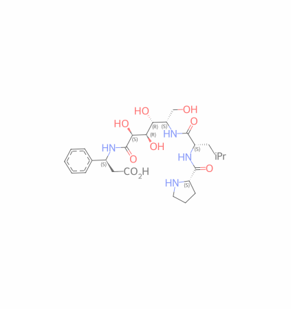 CC(C)C[C@H](NC(=O)[C@@H]1CCCN1)C(=O)N[C@@H](CO)[C@@H](O)[C@@H](O)[C@H](O)C(=O)N[C@@H](CC(=O)O)c1ccccc1